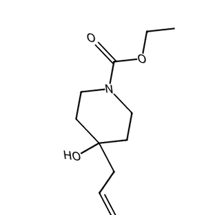 C=CCC1(O)CCN(C(=O)OCC)CC1